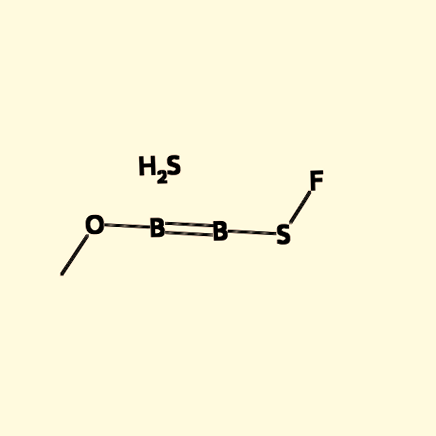 COB=BSF.S